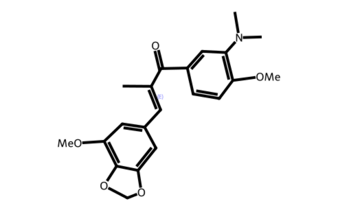 COc1ccc(C(=O)/C(C)=C/c2cc(OC)c3c(c2)OCO3)cc1N(C)C